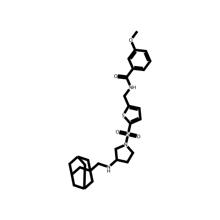 COc1cccc(C(=O)NCc2ccc(S(=O)(=O)N3CCC(NCC45CC6CC(CC(C6)C4)C5)C3)s2)c1